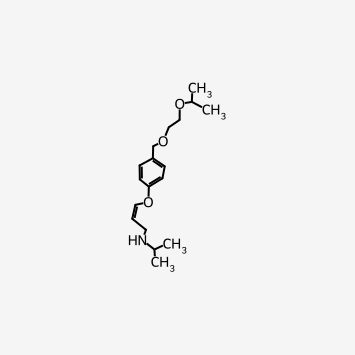 CC(C)NC/C=C\Oc1ccc(COCCOC(C)C)cc1